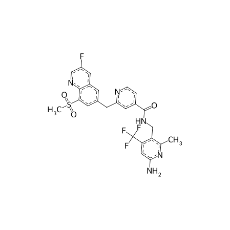 Cc1nc(N)cc(C(F)(F)F)c1CNC(=O)c1ccnc(Cc2cc(S(C)(=O)=O)c3ncc(F)cc3c2)c1